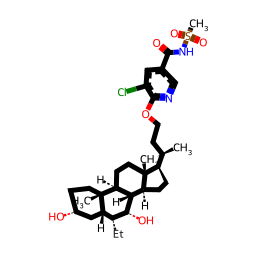 CC[C@H]1[C@@H](O)[C@@H]2[C@H](CC[C@]3(C)[C@@H]([C@H](C)CCOc4ncc(C(=O)NS(C)(=O)=O)cc4Cl)CC[C@@H]23)[C@@]2(C)CC[C@@H](O)C[C@@H]12